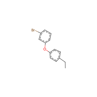 CCc1ccc(Oc2cccc(Br)c2)cc1